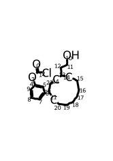 O=C(Cl)Oc1ccccc1.OCCC1CCCCCCCCCCC1